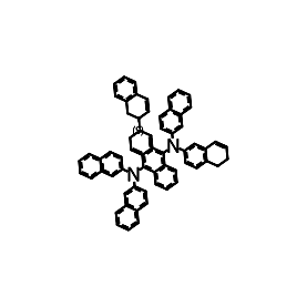 C1=Cc2cc(N(c3ccc4ccccc4c3)c3c4c(c(N(c5ccc6ccccc6c5)c5ccc6ccccc6c5)c5ccccc35)=CC[C@@H](C3C=Cc5ccccc5C3)C=4)ccc2CC1